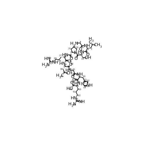 CC(C)C[C@H](NC(=O)CN)C(=O)N[C@@H](CO)C(=O)N1CCC[C@H]1C(=O)N[C@@H](CCCNC(=N)N)C(=O)N[C@@H](CC(C)C)C(=O)NCC(=O)N[C@@H](Cc1c[nH]cn1)C(=O)N[C@@H](CCCNC(=N)N)C(=O)O